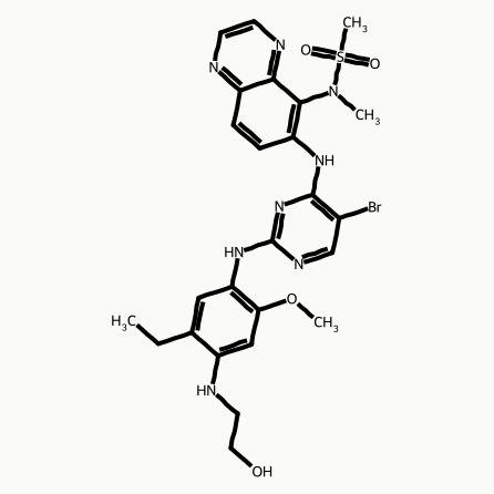 CCc1cc(Nc2ncc(Br)c(Nc3ccc4nccnc4c3N(C)S(C)(=O)=O)n2)c(OC)cc1NCCO